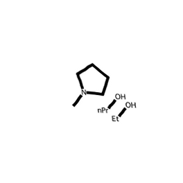 CCCO.CCO.CN1CCCC1